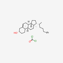 CC(C)CCCC(C)[C@H]1CC[C@H]2[C@@H]3CC=C4C[C@@H](O)CC[C@]4(C)[C@H]3CC[C@]12C.O=C(Cl)Cl